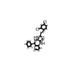 O=C(CCc1ccc(Cl)cc1Cl)NC1N=C(c2ccccc2)c2ccccc2NC1=S